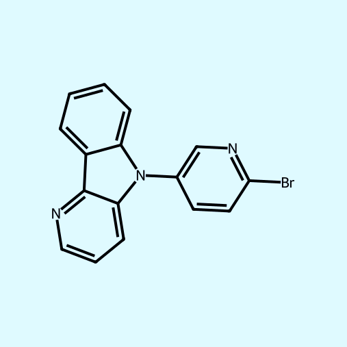 Brc1ccc(-n2c3ccccc3c3ncccc32)cn1